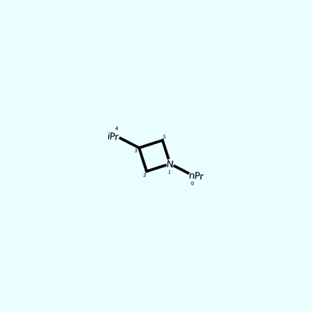 CCCN1CC(C(C)C)C1